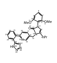 CCCc1cn(-c2c(OC)cccc2OC)c(=O)n1Cc1ccc(-c2ccccc2-c2nnn[nH]2)nc1